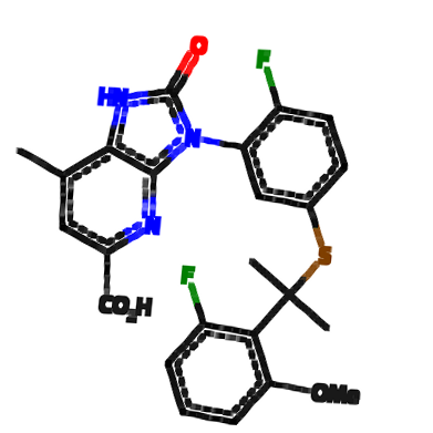 COc1cccc(F)c1C(C)(C)Sc1ccc(F)c(-n2c(=O)[nH]c3c(C)cc(C(=O)O)nc32)c1